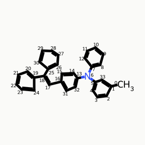 Cc1cccc(N(c2ccccc2)c2ccc(C=C(c3ccccc3)c3ccccc3)cc2)c1